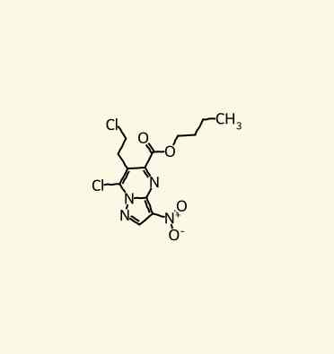 CCCCOC(=O)c1nc2c([N+](=O)[O-])cnn2c(Cl)c1CCCl